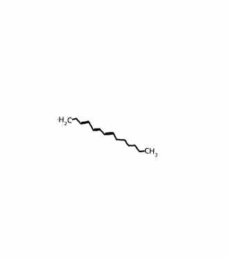 [CH2]CC=CC=CC=CCCCCCC